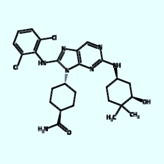 CC1(C)CC[C@@H](Nc2ncc3nc(Nc4c(Cl)cccc4Cl)n([C@H]4CC[C@H](C(N)=O)CC4)c3n2)C[C@H]1O